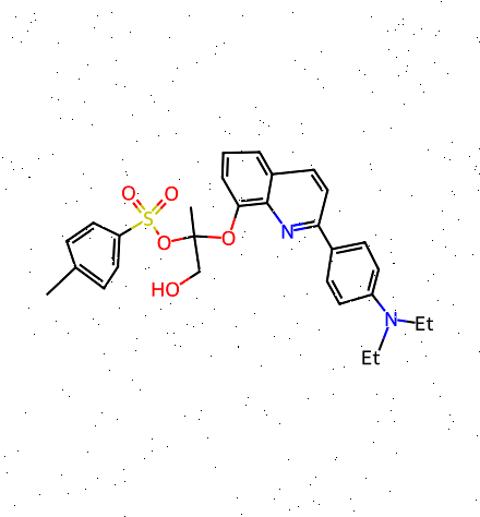 CCN(CC)c1ccc(-c2ccc3cccc(OC(C)(CO)OS(=O)(=O)c4ccc(C)cc4)c3n2)cc1